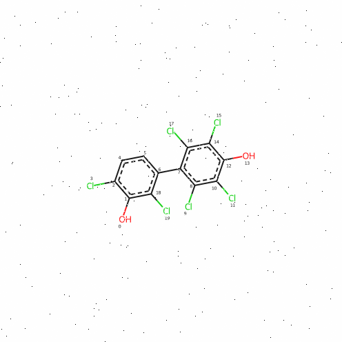 Oc1c(Cl)ccc(-c2c(Cl)c(Cl)c(O)c(Cl)c2Cl)c1Cl